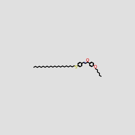 CCCCCCCCCCCCCCCCCCCCCCSc1ccc(/C=C/C(=O)c2ccc(OCCCCCC)cc2)cc1